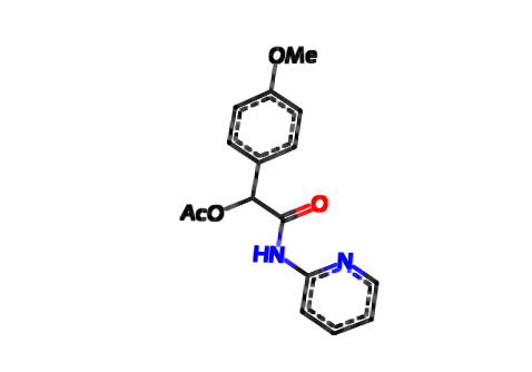 COc1ccc(C(OC(C)=O)C(=O)Nc2ccccn2)cc1